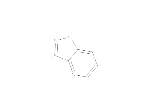 c1cnc2cnoc2c1